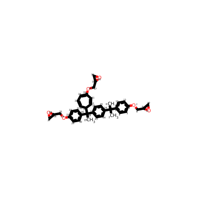 CC(C)(c1ccc(OCC2CO2)cc1)c1ccc(C(C)(c2ccc(OCC3CO3)cc2)C2C=CC=C(OCC3CO3)C=C2)cc1